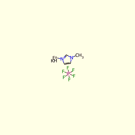 CC[n+]1ccn(C)c1.F[P-](F)(F)(F)(F)F.[KH]